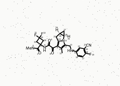 CNC(=O)C1(NC(=O)C(=O)c2c(C)c(CNc3ccc(F)c(C#N)c3)n3c2C[C@H]2C[C@H]23)CC(F)(F)C1